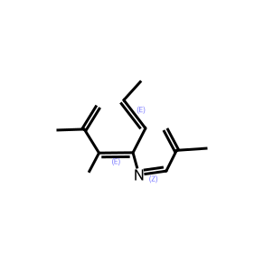 C=C(C)\C=N/C(/C=C/C)=C(\C)C(=C)C